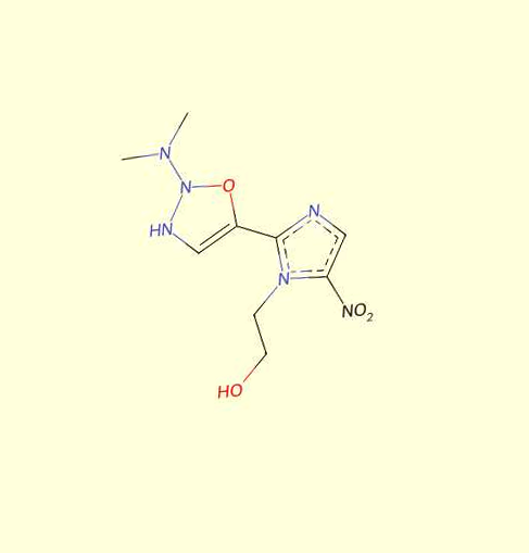 CN(C)N1NC=C(c2ncc([N+](=O)[O-])n2CCO)O1